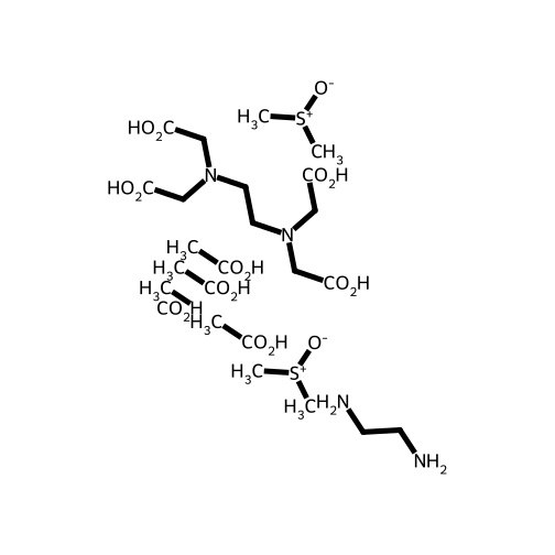 CC(=O)O.CC(=O)O.CC(=O)O.CC(=O)O.C[S+](C)[O-].C[S+](C)[O-].NCCN.O=C(O)CN(CCN(CC(=O)O)CC(=O)O)CC(=O)O